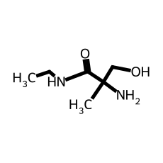 CCNC(=O)C(C)(N)CO